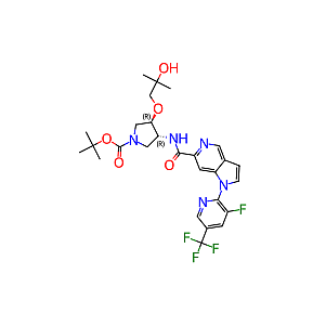 CC(C)(O)CO[C@@H]1CN(C(=O)OC(C)(C)C)C[C@H]1NC(=O)c1cc2c(ccn2-c2ncc(C(F)(F)F)cc2F)cn1